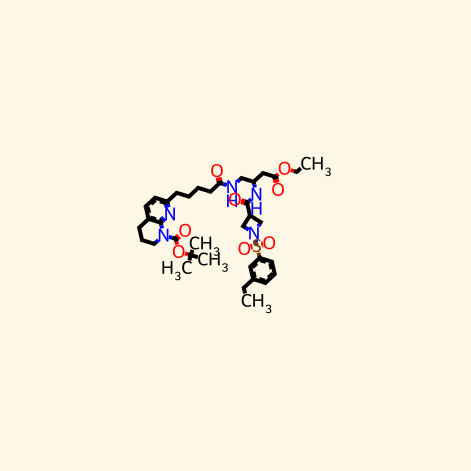 CCOC(=O)CC(CNC(=O)CCCCc1ccc2c(n1)N(C(=O)OC(C)(C)C)CCC2)NC(=O)C1CN(S(=O)(=O)c2cccc(CC)c2)C1